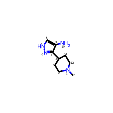 CN1CCC(c2n[nH]cc2N)CC1